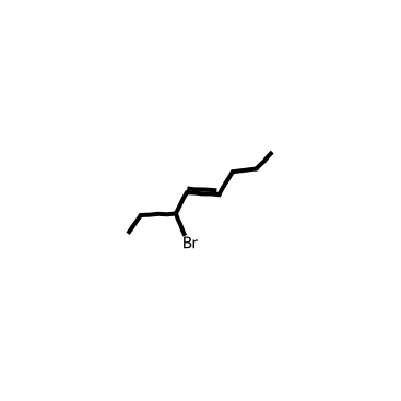 CCCC=CC(Br)CC